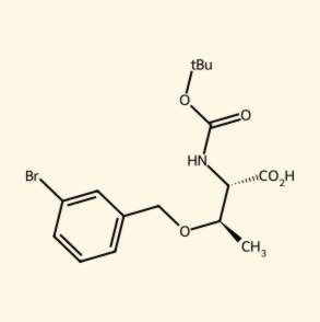 C[C@@H](OCc1cccc(Br)c1)[C@H](NC(=O)OC(C)(C)C)C(=O)O